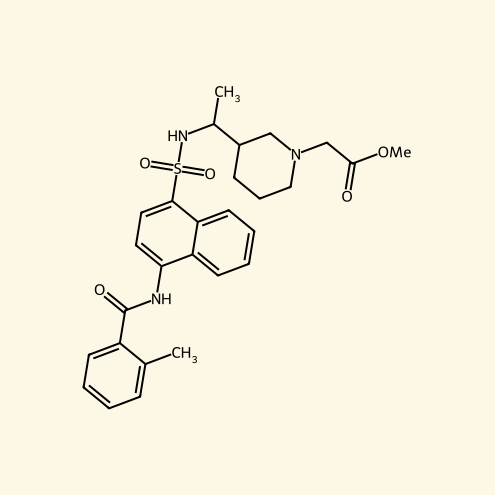 COC(=O)CN1CCCC(C(C)NS(=O)(=O)c2ccc(NC(=O)c3ccccc3C)c3ccccc23)C1